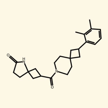 Cc1cccc(C2CC3(CCN(C(=O)C4CC5(CCC(=O)N5)C4)CC3)C2)c1C